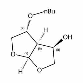 CCCCO[C@H]1CO[C@@H]2OC[C@H](O)[C@@H]21